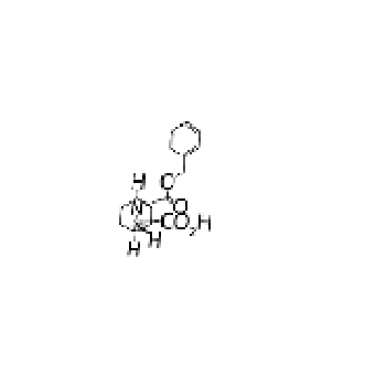 O=C(O)[C@@H]1[C@H]2CC[C@H](CC2)N1C(=O)OCc1ccccc1